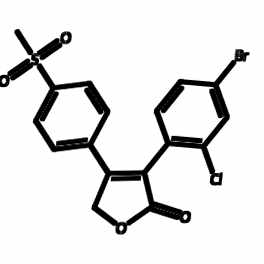 CS(=O)(=O)c1ccc(C2=C(c3ccc(Br)cc3Cl)C(=O)OC2)cc1